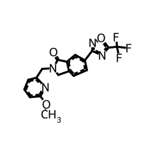 COc1cccc(CN2Cc3ccc(-c4noc(C(F)(F)F)n4)cc3C2=O)n1